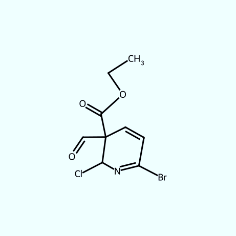 CCOC(=O)C1(C=O)C=CC(Br)=NC1Cl